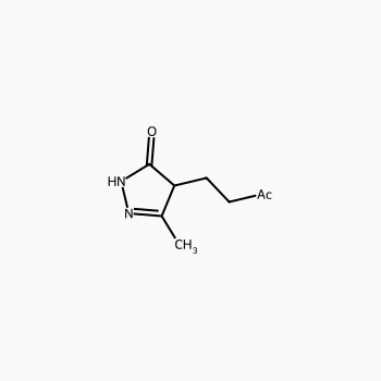 CC(=O)CCC1C(=O)NN=C1C